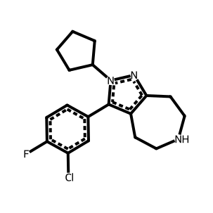 Fc1ccc(-c2c3c(nn2C2CCCC2)CCNCC3)cc1Cl